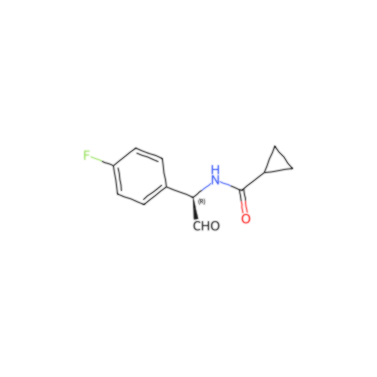 O=C[C@H](NC(=O)C1CC1)c1ccc(F)cc1